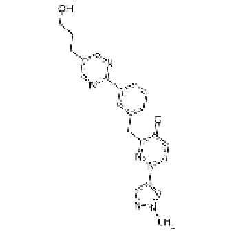 Cn1cc(-n2ccc(=O)c(Cc3cccc(-c4ncc(CCCO)cn4)c3)n2)cn1